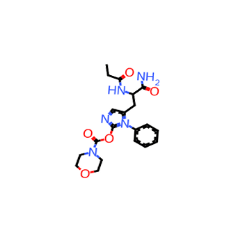 CCC(=O)NC(Cc1cnc(OC(=O)N2CCOCC2)n1-c1ccccc1)C(N)=O